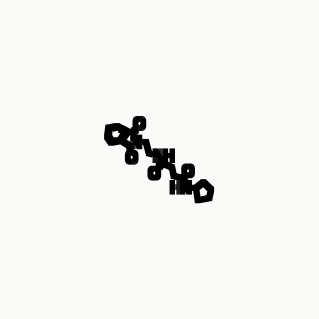 O=C(CCC(=O)NC1CCCC1)NCCN1C(=O)c2ccccc2C1=O